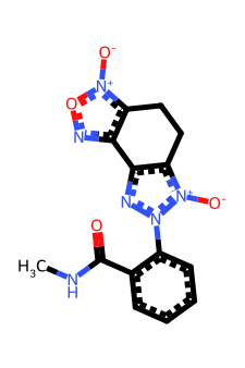 CNC(=O)c1ccccc1-n1nc2c([n+]1[O-])CCc1c-2no[n+]1[O-]